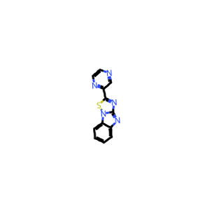 c1ccc2c(c1)nc1nc(-c3cnccn3)sn12